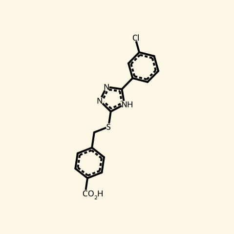 O=C(O)c1ccc(CSc2nnc(-c3cccc(Cl)c3)[nH]2)cc1